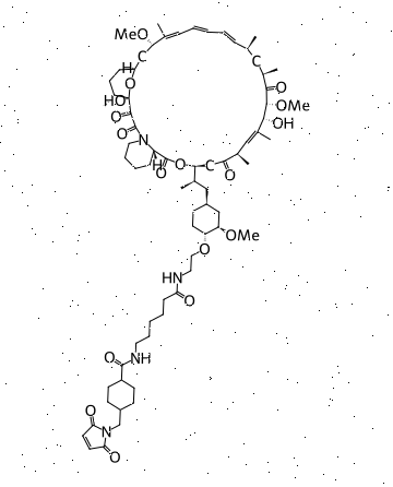 CO[C@H]1C[C@@H]2CC[C@@H](C)[C@@](O)(O2)C(=O)C(=O)N2CCCC[C@H]2C(=O)O[C@H]([C@H](C)C[C@@H]2CC[C@@H](OCCNC(=O)CCCCCNC(=O)C3CCC(CN4C(=O)C=CC4=O)CC3)[C@H](OC)C2)CC(=O)[C@H](C)/C=C(\C)[C@@H](O)[C@@H](OC)C(=O)[C@H](C)C[C@H](C)/C=C/C=C/C=C/1C